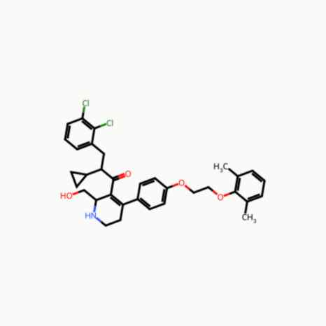 Cc1cccc(C)c1OCCOc1ccc(C2=C(C(=O)C(Cc3cccc(Cl)c3Cl)C3CC3)C(CO)NCC2)cc1